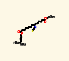 CCCCCCCCCCCOC(=O)CCCCCC(CCCCCCCC(=O)OCCCCC(CCCC)CCCC)N=C=S